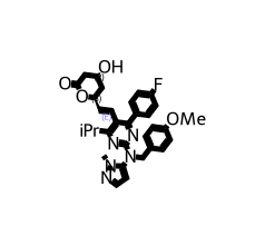 COc1ccc(CN(c2nc(-c3ccc(F)cc3)c(/C=C/[C@@H]3C[C@@H](O)CC(=O)O3)c(C(C)C)n2)c2ccnn2C)cc1